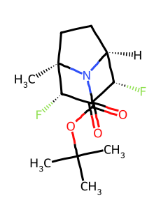 CC(C)(C)OC(=O)N1[C@H]2CC[C@]1(C)[C@@H](F)C(=O)[C@H]2F